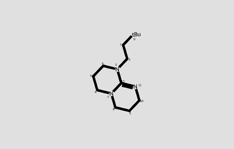 CC(C)(C)CCN1CCCN2CCCN=C21